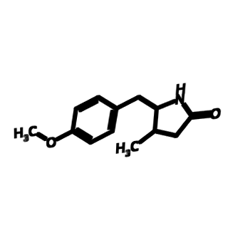 COc1ccc(CC2NC(=O)CC2C)cc1